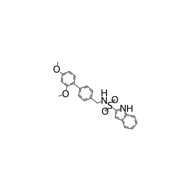 COc1ccc(-c2ccc(CNS(=O)(=O)c3cc4ccccc4[nH]3)cc2)c(OC)c1